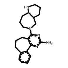 Nc1nc2c(c(N3CCCC4NCCCC4C3)n1)CCCc1ccccc1-2